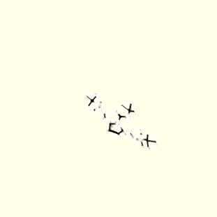 CC(C)(C)OC(=O)N1[C@@H](CO[Si](C)(C)C(C)(C)C)C=C[C@H]1CO[Si](C)(C)C(C)(C)C